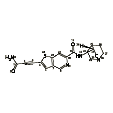 NC(=O)C#Cc1cc2cnc(C(=O)N[C@H]3CN4CCC3CC4)cc2s1